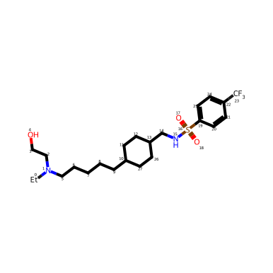 CCN(CCO)CCCCCC1CCC(CNS(=O)(=O)c2ccc(C(F)(F)F)cc2)CC1